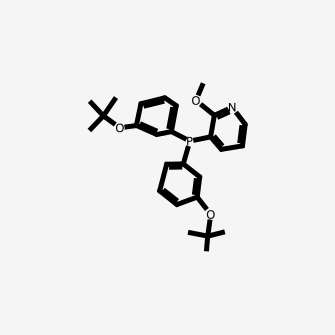 COc1ncccc1P(c1cccc(OC(C)(C)C)c1)c1cccc(OC(C)(C)C)c1